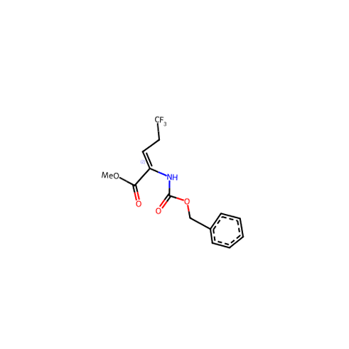 COC(=O)/C(=C/CC(F)(F)F)NC(=O)OCc1ccccc1